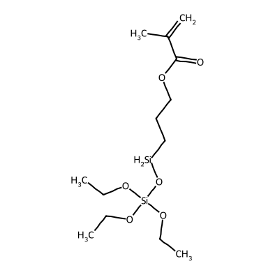 C=C(C)C(=O)OCCC[SiH2]O[Si](OCC)(OCC)OCC